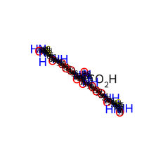 CN(CCC(=O)O)C(=O)c1cc(C(=O)NCCCOCCOCCOCCCNC(=O)CCCCC2SCC3NC(=O)NC32)cc(C(=O)NCCCOCCOCCOCCCNC(=O)CCCCC2SCC3NC(=O)NC32)c1